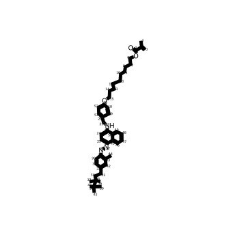 C=C(C)C(=O)OCCCCCCCCCCOc1ccc(CNc2ccc(/N=N/c3ccc(CCC(C)(C)C(C)(C)C)cc3C)c3ccccc23)cc1